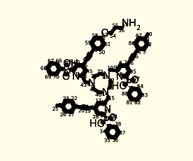 Cc1ccc(C#Cc2cc(CN3CCN(Cc4cc(C#Cc5ccc(C)cc5)cc(P(=O)(O)c5ccccc5)n4)CCN(Cc4cc(C#Cc5ccc(OCCCN)cc5)cc(P(=O)(O)c5ccccc5)n4)CC3)nc(P(=O)(O)c3ccccc3)c2)cc1